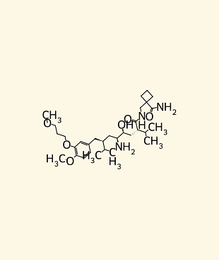 COCCCOc1cc(C[C@@H](C[C@H](N)[C@@H](O)C[C@H](C(=O)NCC2(C(N)=O)CCC2)C(C)C)C(C)C)ccc1OC